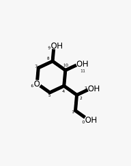 OCC(O)C1COCC(O)C1O